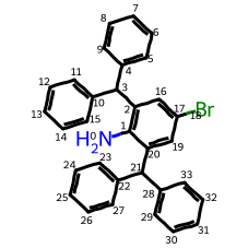 Nc1c(C(c2ccccc2)c2ccccc2)cc(Br)cc1C(c1ccccc1)c1ccccc1